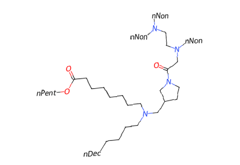 CCCCCCCCCCCCCCN(CCCCCCCC(=O)OCCCCC)CC1CCN(C(=O)CN(CCCCCCCCC)CCN(CCCCCCCCC)CCCCCCCCC)C1